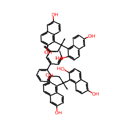 C=C(/C=C(\C=C/C)c1ccccc1CC(C)(c1c(O)ccc2cc(O)ccc12)c1c(O)ccc2cc(O)ccc12)CC(C)(c1c(O)ccc2cc(O)ccc12)c1c(O)ccc2cc(O)ccc12